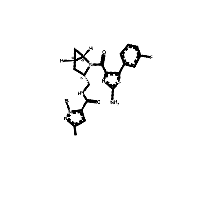 CCn1nc(C)cc1C(=O)NC[C@@H]1C[C@@H]2C[C@@H]2N1C(=O)c1nc(N)sc1-c1cccc(F)c1